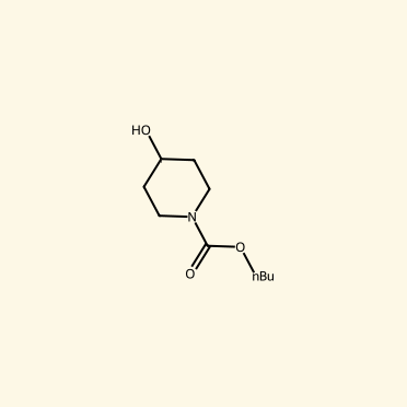 CCCCOC(=O)N1CC[C](O)CC1